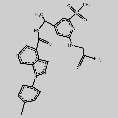 C[C@H](NC(=O)c1cncc2c1cnn2-c1ccc(F)cc1)c1cc(NCC(N)=O)nc(S(C)(=O)=O)c1